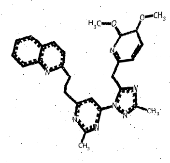 COC1C=CC(Cc2nc(C)nn2-c2cc(CCc3ccc4ccccc4n3)nc(C)n2)=NC1OC